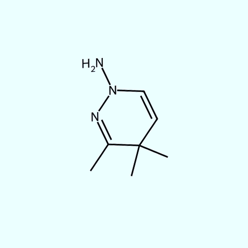 CC1=NN(N)C=CC1(C)C